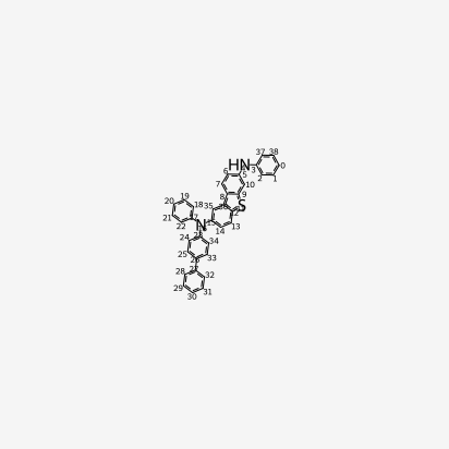 c1ccc(Nc2ccc3c(c2)sc2ccc(N(c4ccccc4)c4ccc(-c5ccccc5)cc4)cc23)cc1